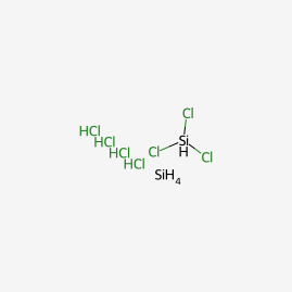 Cl.Cl.Cl.Cl.Cl[SiH](Cl)Cl.[SiH4]